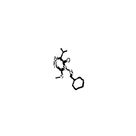 CSc1nnc(C(C)C)c(=O)n1/N=C/C1CCCCC1